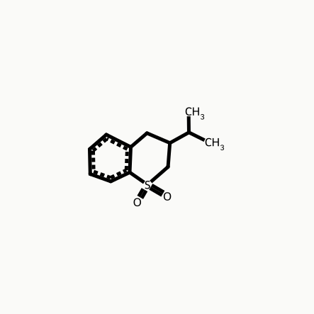 CC(C)C1Cc2ccccc2S(=O)(=O)C1